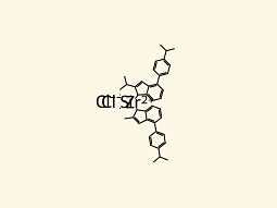 CC1=Cc2c(-c3ccc(C(C)C)cc3)cccc2[CH]1[Zr+2]([CH]1C(C(C)C)=Cc2c(-c3ccc(C(C)C)cc3)cccc21)=[Si](C)C.[Cl-].[Cl-]